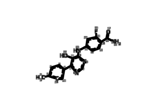 Cc1ccc(-c2ncnc(Nc3ccc(C(N)=O)c(F)c3)c2O)cc1